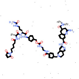 CCCN(CCC)C(=O)C1=Cc2ccc(C(=O)Nc3cc4c(cn3)CCN(Cc3ccc(C(=O)NCCNC(=O)OCc5ccc(NC(=O)[C@H](CCCNC(N)=O)NC(=O)[C@@H](NC(=O)CCCCCN6C(=O)C=CC6=O)C(C)C)cc5)cc3)C4)cc2N=C(N)C1